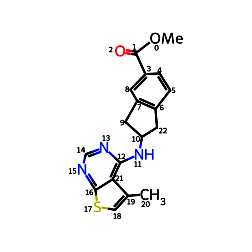 COC(=O)c1ccc2c(c1)CC(Nc1ncnc3scc(C)c13)C2